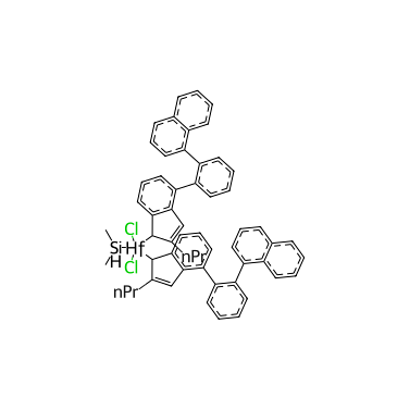 CCCC1=Cc2c(-c3ccccc3-c3cccc4ccccc34)cccc2[CH]1[Hf]([Cl])([Cl])([CH]1C(CCC)=Cc2c(-c3ccccc3-c3cccc4ccccc34)cccc21)[SiH](C)C